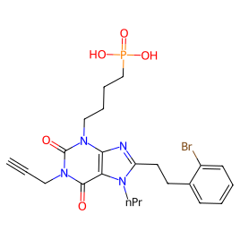 C#CCn1c(=O)c2c(nc(CCc3ccccc3Br)n2CCC)n(CCCCP(=O)(O)O)c1=O